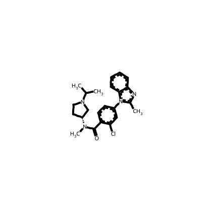 Cc1nc2ccccc2n1-c1ccc(C(=O)N(C)[C@@H]2CCN(C(C)C)C2)c(Cl)c1